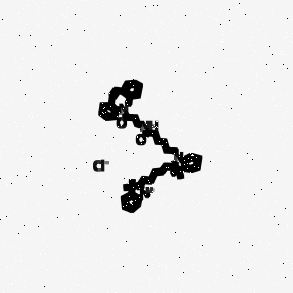 C[N+]1=C(/C=C/C=C/C=C2/N(CCCCCC(=O)NCCC(=O)N3Cc4ccccc4C#Cc4ccccc43)c3ccccc3C2(C)C)C(C)(C)c2ccccc21.[Cl-]